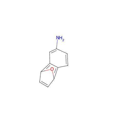 Nc1ccc2c3ccc(o3)c2c1